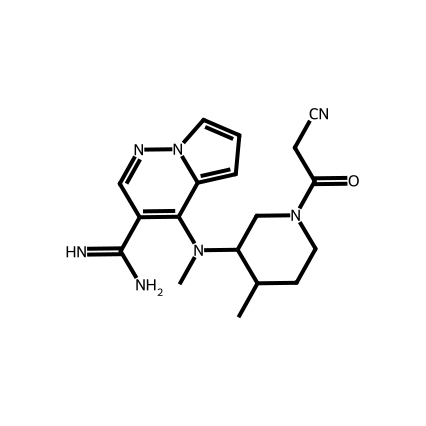 CC1CCN(C(=O)CC#N)CC1N(C)c1c(C(=N)N)cnn2cccc12